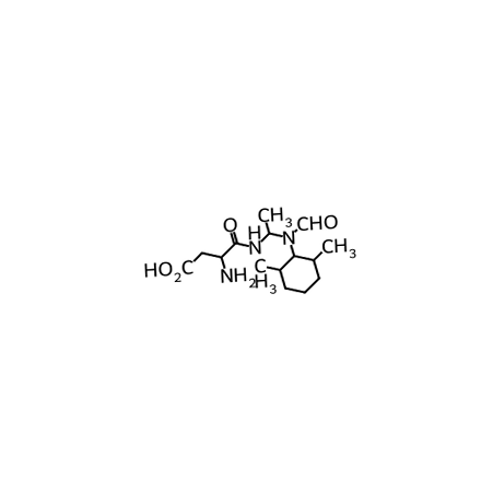 CC1CCCC(C)C1N(C=O)C(C)NC(=O)C(N)CC(=O)O